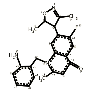 CC1=NOC(C)C1c1cc2c(cc1F)c(=O)cc(C)n2Cc1ccccc1N